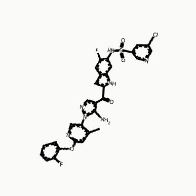 Cc1cc(Oc2ccccc2F)ncc1-n1ncc(C(=O)c2cc3cc(F)c(NS(=O)(=O)c4cncc(Cl)c4)cc3[nH]2)c1N